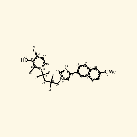 COc1ccc2cc(-c3cn(CC(C)(C)CC(C)(C)n4ccc(=O)c(O)c4C)nn3)ccc2c1